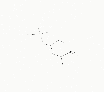 CC(C)(C)[Si](C)(C)OC1CCC(=O)C(C=O)C1